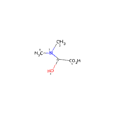 CN(C)C(O)C(=O)O